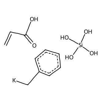 C=CC(=O)O.O[Si](O)(O)O.[K][CH2]c1ccccc1